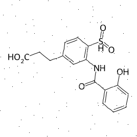 O=C(O)CCc1ccc([SH](=O)=O)c(NC(=O)c2ccccc2O)c1